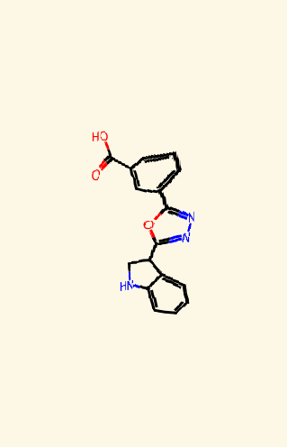 O=C(O)c1cccc(-c2nnc(C3CNc4ccccc43)o2)c1